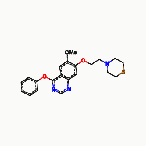 COc1cc2c(Oc3ccccc3)ncnc2cc1OCCN1CCSCC1